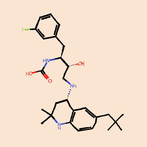 CC(C)(C)Cc1ccc2c(c1)[C@@H](NC[C@@H](O)[C@H](Cc1cccc(F)c1)NC(=O)O)CC(C)(C)N2